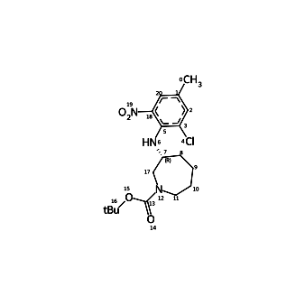 Cc1cc(Cl)c(N[C@@H]2CCCCN(C(=O)OC(C)(C)C)C2)c([N+](=O)[O-])c1